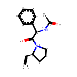 C=C[C@@H]1CCCN1C(=O)[C@H](NC(=O)CC)c1ccccc1